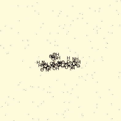 Nc1nc2c(ncn2[C@@H]2O[C@H](Cc3cn([C@@H]4[C@@H](O)[C@H](n5cnc6c(=O)[nH]c(N)nc65)O[C@@H]4COP(=O)(O)O)nn3)[C@H](O)[C@H]2O)c(=O)[nH]1